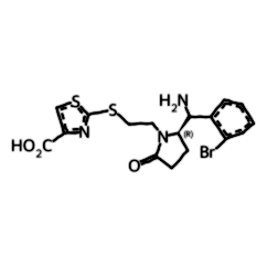 NC(c1ccccc1Br)[C@H]1CCC(=O)N1CCSc1nc(C(=O)O)cs1